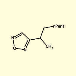 CCCCCCC(C)c1cnon1